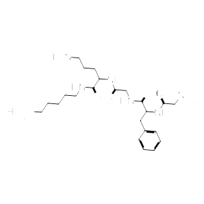 C=C(NCC(=O)NC(CCCN)C(=O)NCCCCCC(=O)O)C(Cc1ccccc1)NC(=O)CN